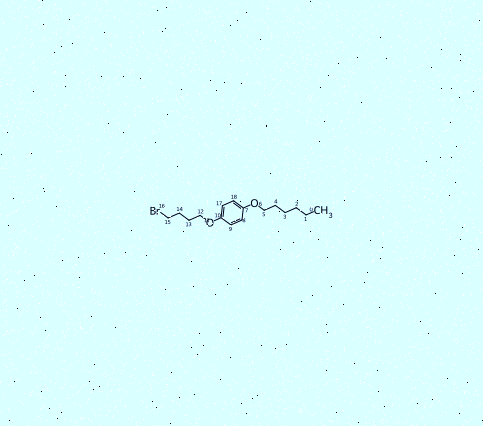 CCCCCCOc1ccc(OCCCCBr)cc1